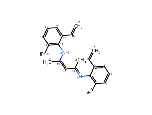 C=Cc1cccc(C(C)C)c1/N=C(C)/C=C(/C)Nc1c(C=C)cccc1C(C)C